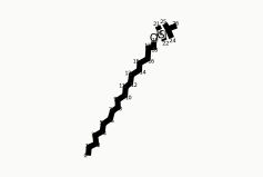 CCCCCCCCCCCCCCCCCCCO[Si](C)(C)C(C)(C)C